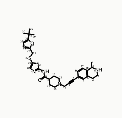 CC1NCCc2cc(C#CCN3CCC(C(=O)Nc4ncc(SCc5ncc(C(C)(C)C)o5)s4)CC3)ccc21